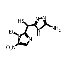 CCn1c([N+](=O)[O-])cnc1C(S)c1nnc(N)[nH]1